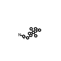 Cc1cc(C#N)ccc1-c1cccc(-c2ccc3c4c(-c5ccccc5)c5cc6c7ccccc7c7cccc(c5c(-c5ccccc5)c4c4cccc2c34)c76)c1